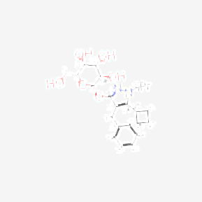 CC(C)n1nc(O[C@@H]2O[C@H](CO)[C@@H](O)[C@H](O)[C@H]2O)c(Cc2ccccc2)c1C1CCC1